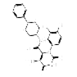 Nc1c(C(=O)NC2CCC(c3ccccc3)CC2)n(-c2ccc(Cl)c(Cl)c2)c(=O)[nH]c1=O